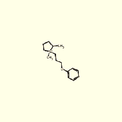 CC1CCC[N+]1(C)CCCOc1ccccc1